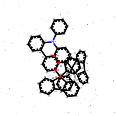 c1ccc(N(c2ccc3c(c2)Oc2ccccc2C32c3ccccc3-c3ccccc32)c2ccccc2-c2ccc(C3(c4ccccc4)c4ccccc4-c4ccccc43)cc2)cc1